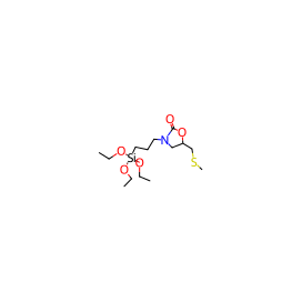 CCO[Si](CCCN1CC(CSC)OC1=O)(OCC)OCC